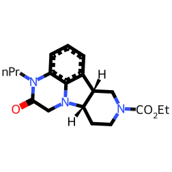 CCCN1C(=O)CN2c3c(cccc31)[C@@H]1CN(C(=O)OCC)CC[C@@H]12